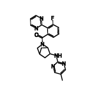 Cc1cnc(NC2CC3CC2N(C(=O)c2cccc(F)c2-c2ncccn2)C3)nc1